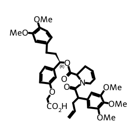 C=CCC(C(=O)N1CC=CCC1C(=O)O[C@H](CCc1ccc(OC)c(OC)c1)c1cccc(OCC(=O)O)c1)c1cc(OC)c(OC)c(OC)c1